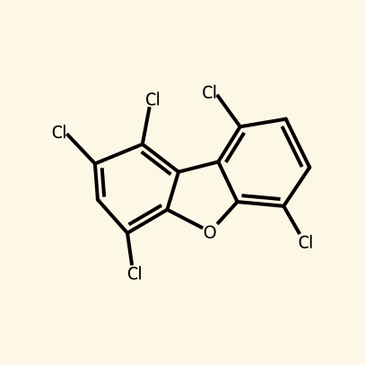 Clc1cc(Cl)c2oc3c(Cl)ccc(Cl)c3c2c1Cl